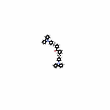 C[Si](C)(c1ccc(-n2c3ccccc3c3ccccc32)cc1)c1cccc(C(=O)c2cccc([Si](C)(C)c3ccc(-n4c5ccccc5c5ccccc54)cc3)c2)c1